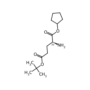 CC(C)(C)OC(=O)CC[C@H](N)C(=O)OC1CCCC1